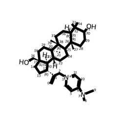 C=C(C[n+]1ccc(N(C)C)cc1)[C@@H]1CC[C@]2(CO)CC[C@]3(C)[C@H](CCC4[C@@]5(C)CCC(O)C(C)(C)[C@@H]5CC[C@]43C)[C@@H]12